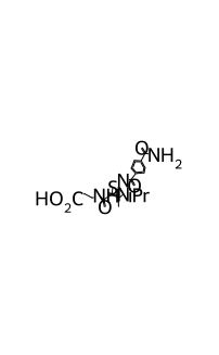 CC(C)N1C(=NC(=O)c2ccc(C(N)=O)cc2)SC(C(=O)NCCC(=O)O)C1C